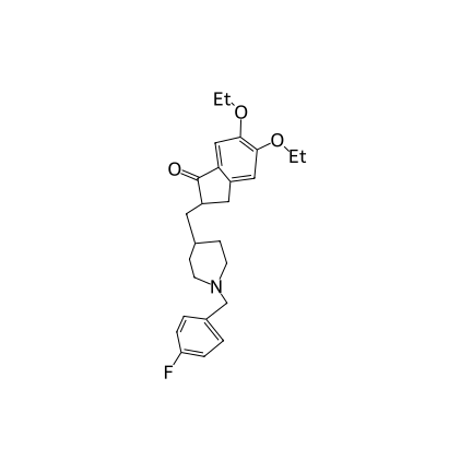 CCOc1cc2c(cc1OCC)C(=O)C(CC1CCN(Cc3ccc(F)cc3)CC1)C2